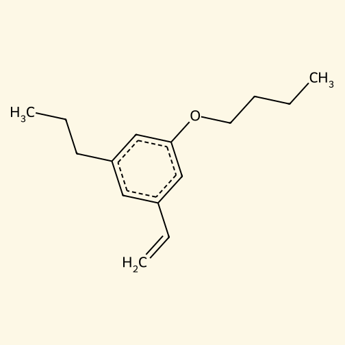 C=Cc1cc(CCC)cc(OCCCC)c1